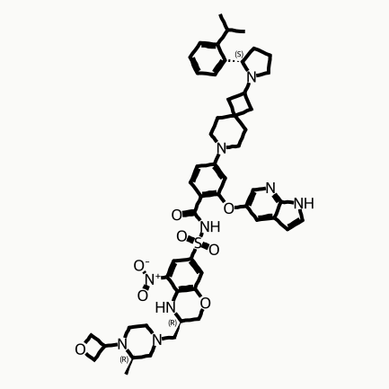 CC(C)c1ccccc1[C@@H]1CCCN1C1CC2(CCN(c3ccc(C(=O)NS(=O)(=O)c4cc5c(c([N+](=O)[O-])c4)N[C@H](CN4CCN(C6COC6)[C@H](C)C4)CO5)c(Oc4cnc5[nH]ccc5c4)c3)CC2)C1